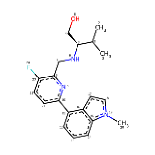 CC(C)[C@H](CO)NCc1nc(-c2cccc3c2ccn3C)ccc1F